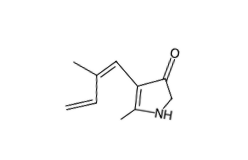 C=C/C(C)=C\C1=C(C)NCC1=O